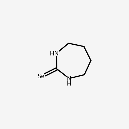 [Se]=C1NCCCCN1